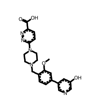 COc1cc(-c2cncc(O)c2)ccc1CN1CCN(c2ccc(C(=O)O)nn2)CC1